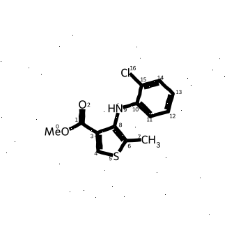 COC(=O)c1csc(C)c1Nc1ccccc1Cl